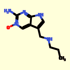 CCCNCc1c[nH]c2nc(N)[n+]([O-])cc12